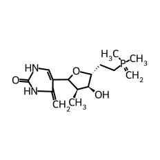 C=C1NC(=O)NC=C1C1O[C@H](CCP(=C)(C)C)[C@@H](O)[C@H]1C